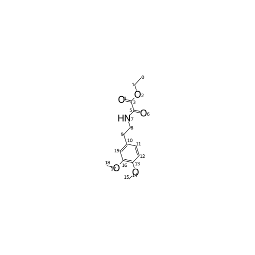 CCOC(=O)C(=O)NCCc1ccc(OC)c(OC)c1